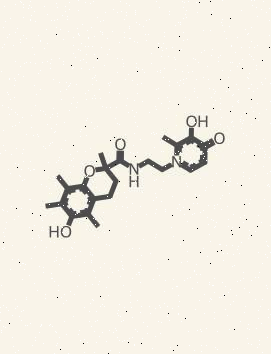 Cc1c(C)c2c(c(C)c1O)CCC(C)(C(=O)NCCn1ccc(=O)c(O)c1C)O2